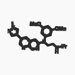 COc1cc(OC)cc(N(CCNC(C)C)c2cc3cc(-c4cnn(C)c4)cnc3cn2)c1